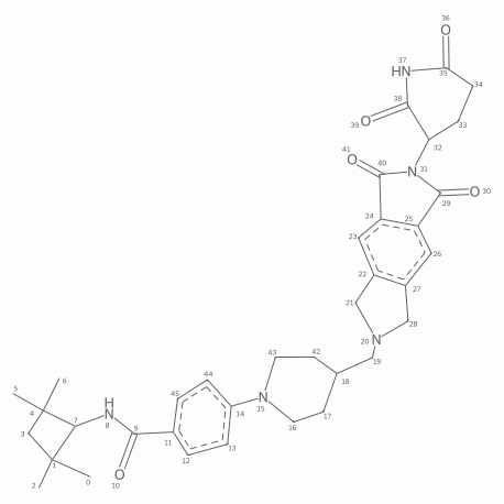 CC1(C)CC(C)(C)C1NC(=O)c1ccc(N2CCC(CN3Cc4cc5c(cc4C3)C(=O)N(C3CCC(=O)NC3=O)C5=O)CC2)cc1